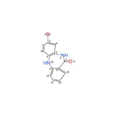 O=C1Nc2cc(Br)ccc2Nc2ccccc21